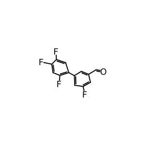 O=Cc1cc(F)cc(-c2cc(F)c(F)cc2F)c1